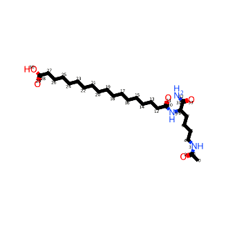 CC(=O)NCCCCC(NC(=O)CCCCCCCCCCCCCCCCC(=O)O)C(N)=O